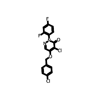 O=c1c(Cl)c(OCc2ccc(Cl)cc2)cnn1-c1ccc(F)cc1F